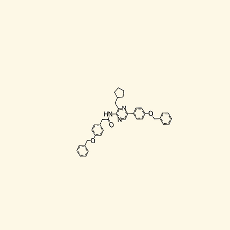 O=C(Cc1ccc(OCc2ccccc2)cc1)Nc1ncc(-c2ccc(OCc3ccccc3)cc2)nc1CC1CCCC1